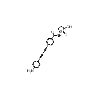 Nc1ccc(C#CC#Cc2ccc(C(=O)N[C@@H]3CCN(O)C3=O)cc2)cc1